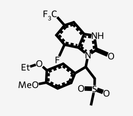 CCOc1cc(C(CS(C)(=O)=O)n2c(=O)[nH]c3cc(C(F)(F)F)cc(F)c32)ccc1OC